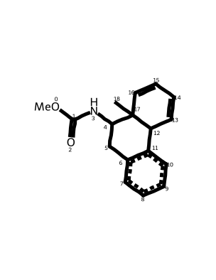 COC(=O)NC1Cc2ccccc2C2C=CC=CC12C